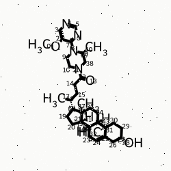 COc1cncnc1N1CCN(C(=O)CCC(C)[C@H]2CC[C@H]3[C@@H]4CC=C5C[C@@H](O)CC[C@]5(C)[C@H]4CC[C@]23C)C[C@@H]1C